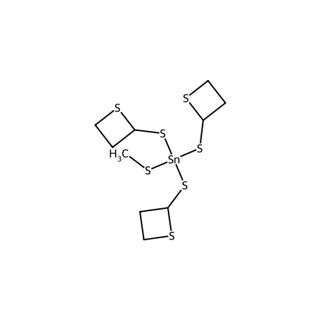 C[S][Sn]([S]C1CCS1)([S]C1CCS1)[S]C1CCS1